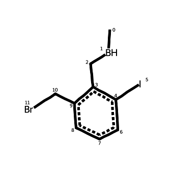 CBCc1c(I)cccc1CBr